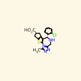 Cc1nnc2n1-c1sc3c(c1[C@H](c1ccccc1Cl)NC2)C[C@H](C(=O)O)C3